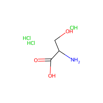 Cl.Cl.Cl.NC(CO)C(=O)O